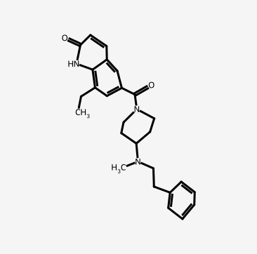 CCc1cc(C(=O)N2CCC(N(C)CCc3ccccc3)CC2)cc2ccc(=O)[nH]c12